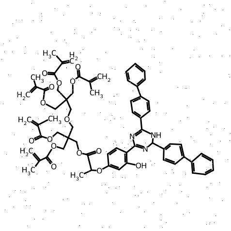 C=C(C)C(=O)OCC(COCC(COC(=O)C(=C)C)(COC(=O)C(=C)C)COC(=O)C(C)Oc1ccc(C2=NC(c3ccc(-c4ccccc4)cc3)NC(c3ccc(-c4ccccc4)cc3)=N2)c(O)c1)(COC(=O)C(=C)C)COC(=O)C(=C)C